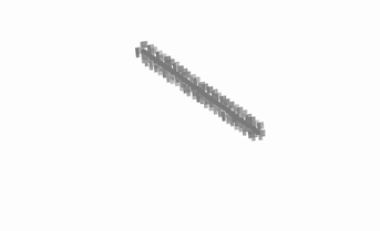 FC(F)C(F)(F)C(F)(F)C(F)(F)C(F)(F)C(F)(F)C(F)(F)C(F)(F)C(F)(F)C(F)(F)C(F)(F)C(F)(F)C(F)(F)C(F)(F)C(F)(F)C(F)(F)C(F)(F)C(F)(F)C(F)(F)C(F)(F)C(F)(F)C(F)(F)C(F)(F)C(F)(F)C(F)(F)C(F)(F)C(F)(F)C(F)(F)F